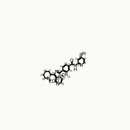 CCCc1ccnc(NC(=O)c2ccc(C3=NC(C4CCCCN4C(=O)[O-])=C4C=NC=C[N+]34C)cc2)c1